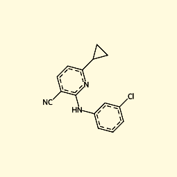 N#Cc1ccc(C2CC2)nc1Nc1cccc(Cl)c1